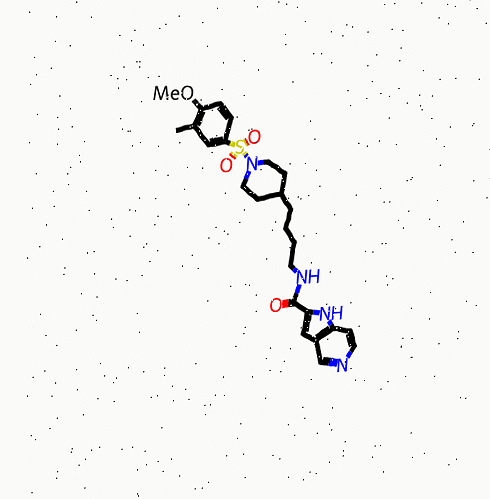 COc1ccc(S(=O)(=O)N2CCC(CCCCNC(=O)c3cc4cnccc4[nH]3)CC2)cc1C